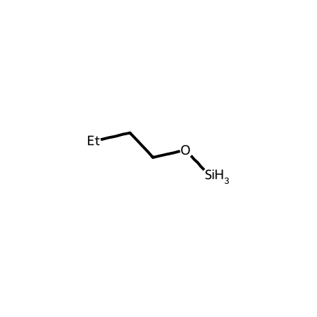 CCCCO[SiH3]